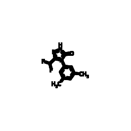 Cc1cc(C)cc(-n2c(C(F)F)n[nH]c2=O)c1